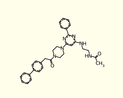 CC(=O)NCCNc1cc(N2CCN(C(=O)Cc3ccc(-c4ccccc4)cc3)CC2)nc(-c2ccccc2)n1